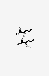 CCCC(N)C(=O)O.CCC[C@H](N)C(=O)O